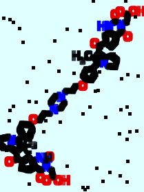 Cc1c(C(=O)c2ccc3c(=O)n(CC(=O)O)c(=O)[nH]c3c2)c2ccccn2c1-c1ccc(OCCCN2CCN(CCCOc3ccc(-c4c(C)c(C(=O)c5ccc6c(=O)n(CC(=O)O)c(=O)[nH]c6c5)c5ccccn45)cc3)CC2)cc1